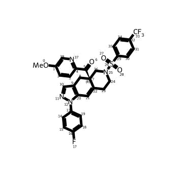 COc1ccc(C(=O)[C@]23Cc4cnn(-c5ccc(F)cc5)c4C=C2CCN(S(=O)(=O)c2ccc(C(F)(F)F)cc2)C3)nc1